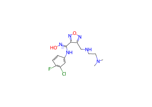 CN(C)CCNCc1nonc1/C(=N/O)Nc1ccc(F)c(Cl)c1